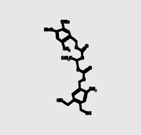 CCOC(=O)C(OC(=O)OCc1cc(CO)c(CO)cc1[N+](=O)[O-])OC(=O)OCc1cc(OC)c(OC)cc1[N+](=O)[O-]